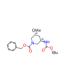 CO[C@@H]1C[C@@H](NC(=O)OC(C)(C)C)CN(C(=O)OCc2ccccc2)C1